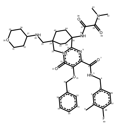 Cc1cc(CNC(=O)c2nc3n(c(=O)c2OCc2ccccc2)CC2(CNC4CCOCC4)CCC3(NC(=O)C(=O)N(C)C)CC2)ccc1F